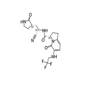 N#C[C@H](C[C@@H]1CCNC1=O)NC(=O)[C@@H]1CCc2ccc(NCC(F)(F)F)c(=O)n21